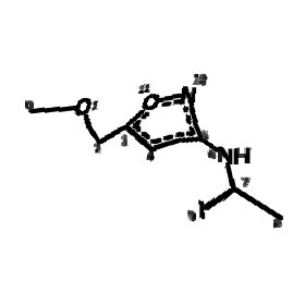 COCc1cc(NC(C)I)no1